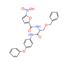 O=C(NC(COCc1ccccc1)C(=O)Nc1ccc(Oc2ccccc2)cc1)c1ccc([N+](=O)O)o1